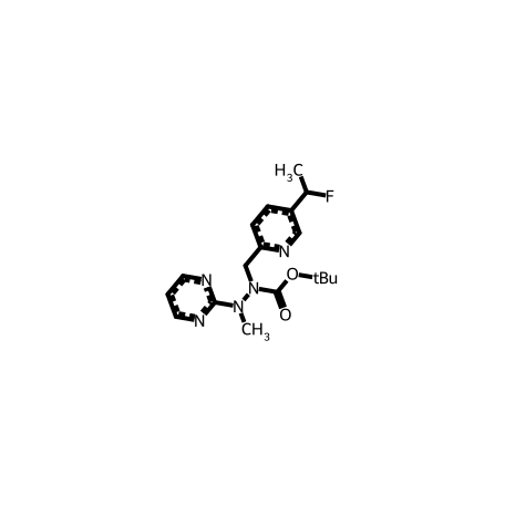 CC(F)c1ccc(CN(C(=O)OC(C)(C)C)N(C)c2ncccn2)nc1